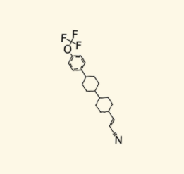 N#CC=CC1CCC(C2CCC(c3ccc(OC(F)(F)F)cc3)CC2)CC1